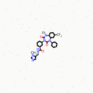 CCN1C(=O)N(c2cccc(C(=O)NCc3cncn3C)c2)C(=O)N(c2ccccc2)c2cc(C(F)(F)F)ccc21